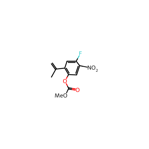 C=C(C)c1cc(F)c([N+](=O)[O-])cc1OC(=O)OC